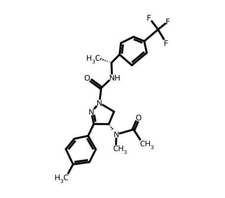 CC(=O)N(C)[C@H]1CN(C(=O)N[C@H](C)c2ccc(C(F)(F)F)cc2)N=C1c1ccc(C)cc1